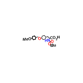 COc1ccc(CO[C@H]2CC[C@H](CC(NC(=O)OC(C)(C)C)C(=O)O)CC2)cc1